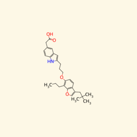 CCCc1c(OCCCc2cc3cc(CC(=O)O)ccc3[nH]2)ccc2c(CC(C)(C)C)coc12